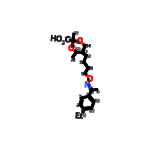 CCc1ccc(C(C)=NOCCCCC2COC(C)(C(=O)O)OC2C)cc1